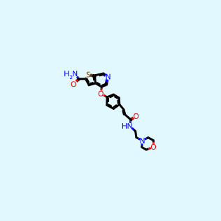 NC(=O)c1cc2c(Oc3ccc(C=CC(=O)NCCN4CCOCC4)cc3)cncc2s1